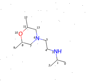 CC(C)NCCN1CC(C)OC(C)C1